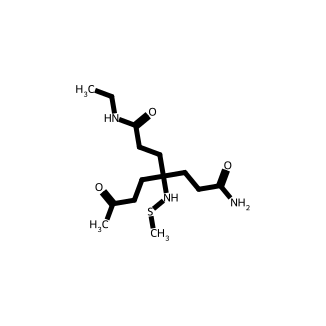 CCNC(=O)CCC(CCC(C)=O)(CCC(N)=O)NSC